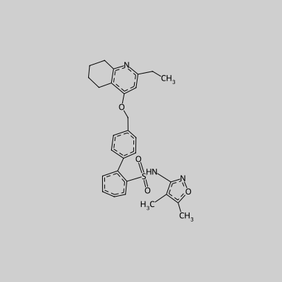 CCc1cc(OCc2ccc(-c3ccccc3S(=O)(=O)Nc3noc(C)c3C)cc2)c2c(n1)CCCC2